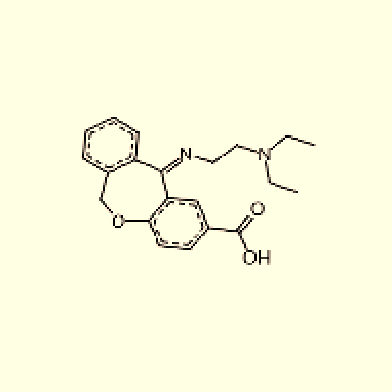 CCN(CC)CCN=C1c2ccccc2COc2ccc(C(=O)O)cc21